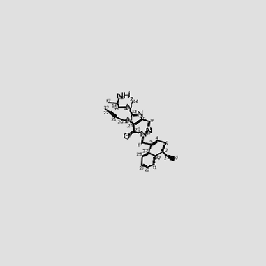 C#Cc1ccc(Cn2ncc3nc(N(C)CC(C)N)n(CC#CC)c3c2=O)c2ccccc12